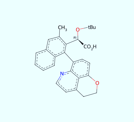 Cc1cc2ccccc2c(-c2ccc3c4c(ccnc24)CCO3)c1[C@@H](OC(C)(C)C)C(=O)O